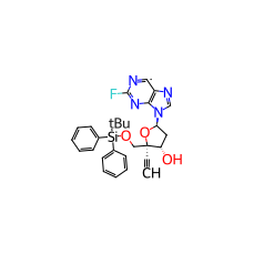 C#C[C@]1(CO[Si](c2ccccc2)(c2ccccc2)C(C)(C)C)O[C@@H](n2cnc3[c]nc(F)nc32)C[C@@H]1O